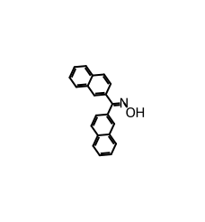 ON=C(c1ccc2ccccc2c1)c1ccc2ccccc2c1